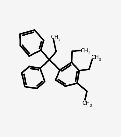 CCc1ccc(C(CC)(c2ccccc2)c2ccccc2)c(CC)c1CC